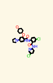 O=C1CCC(Oc2cc(N3CCCC3)ccc2C(=O)Nc2ccc(Cl)cc2C(=O)Nc2ccc(Cl)cn2)CC1